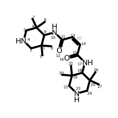 CC1(C)CNCC(C)(C)C1NC(=O)/C=C\C(=O)NC1C(C)(C)CNCC1(C)C